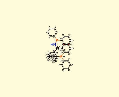 CC(NP(c1ccccc1)c1ccccc1)[C@@]12[CH]3[CH]4[CH]5[C]1(P(c1ccccc1)c1ccccc1)[Fe]45321678[CH]2[CH]1[CH]6[CH]7[CH]28